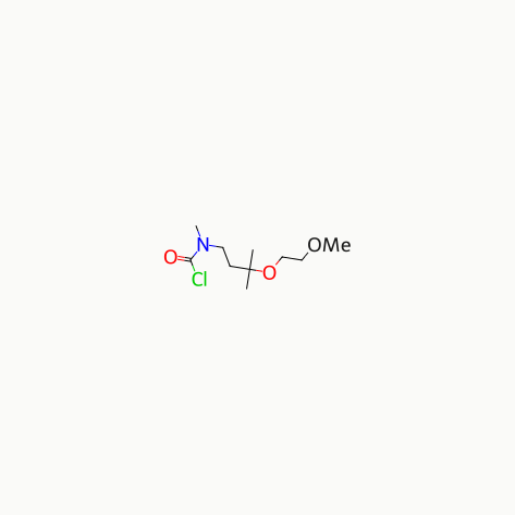 COCCOC(C)(C)CCN(C)C(=O)Cl